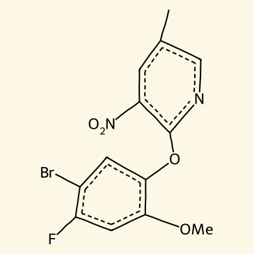 COc1cc(F)c(Br)cc1Oc1ncc(C)cc1[N+](=O)[O-]